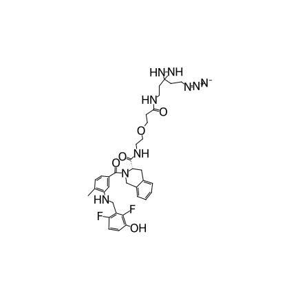 Cc1ccc(C(=O)N2Cc3ccccc3C[C@H]2C(=O)NCCOCCC(=O)NCCC2(CCN=[N+]=[N-])NN2)cc1NCc1c(F)ccc(O)c1F